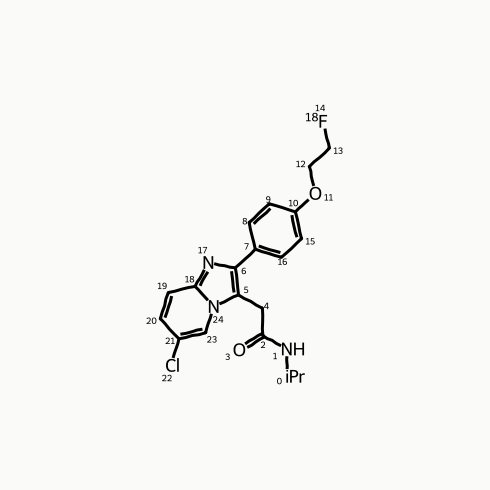 CC(C)NC(=O)Cc1c(-c2ccc(OCC[18F])cc2)nc2ccc(Cl)cn12